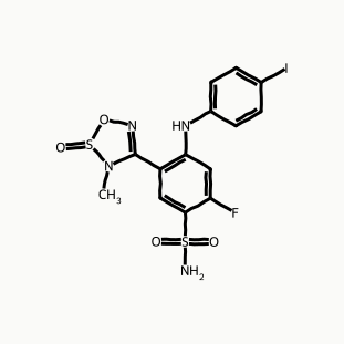 CN1C(c2cc(S(N)(=O)=O)c(F)cc2Nc2ccc(I)cc2)=NOS1=O